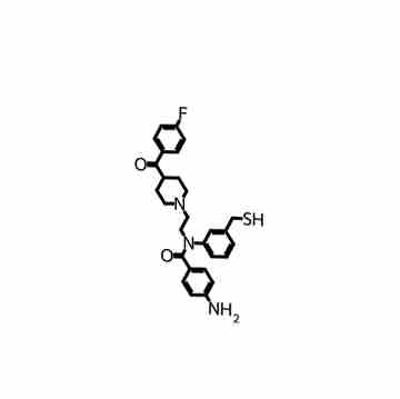 Nc1ccc(C(=O)N(CCN2CCC(C(=O)c3ccc(F)cc3)CC2)c2cccc(CS)c2)cc1